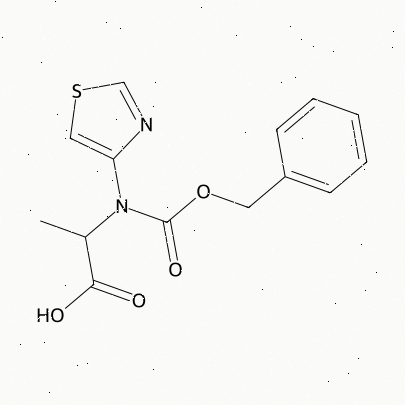 CC(C(=O)O)N(C(=O)OCc1ccccc1)c1cscn1